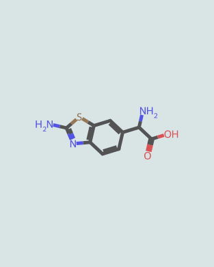 Nc1nc2ccc(C(N)C(=O)O)cc2s1